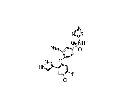 N#Cc1cc(S(=O)(=O)Nc2ncns2)ccc1Oc1cc(F)c(Cl)cc1-c1cn[nH]c1